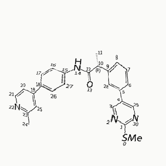 CSc1ncc(-c2cccc([C@@H](C)C(=O)Nc3ccc(-c4ccnc(C)c4)cc3)c2)cn1